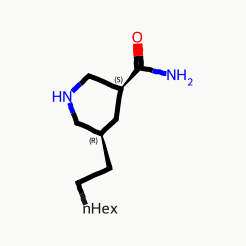 CCCCCCCC[C@H]1CNC[C@@H](C(N)=O)C1